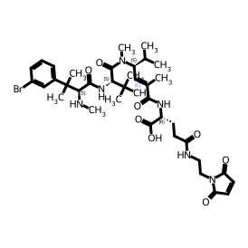 CN[C@H](C(=O)N[C@H](C(=O)N(C)[C@H](/C=C(\C)C(=O)N[C@H](CCC(=O)NCCN1C(=O)C=CC1=O)C(=O)O)C(C)C)C(C)(C)C)C(C)(C)c1cccc(Br)c1